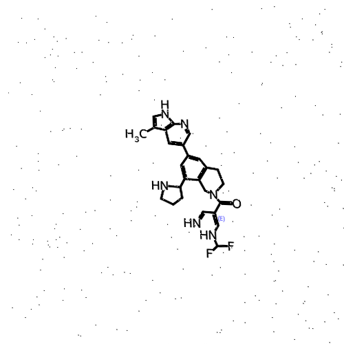 Cc1c[nH]c2ncc(-c3cc4c(c(C5CCCN5)c3)CN(C(=O)/C(C=N)=C/NC(F)F)CC4)cc12